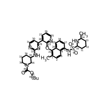 Cc1ccc2c(NS(=O)(=O)C3CCCC(C)N3)cccc2c1Oc1ncccc1-c1ccnc(NC2CCCN(C(=O)OC(C)(C)C)C2)n1